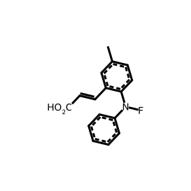 Cc1ccc(N(F)c2ccccc2)c(C=CC(=O)O)c1